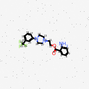 Nc1ccccc1C(=O)OCCN1CCN(c2cccc(C(F)(F)F)c2)CC1